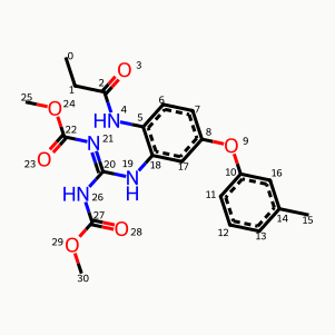 CCC(=O)Nc1ccc(Oc2cccc(C)c2)cc1NC(=NC(=O)OC)NC(=O)OC